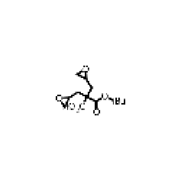 CCC(C)OC(=O)C(CC1CO1)(CC1CO1)C(=O)O